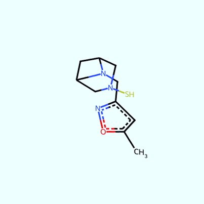 Cc1cc(CN2C3CC2CN(S)C3)no1